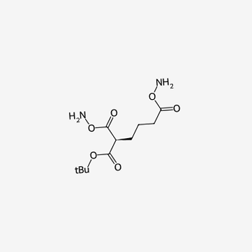 CC(C)(C)OC(=O)[C@H](CCCC(=O)ON)C(=O)ON